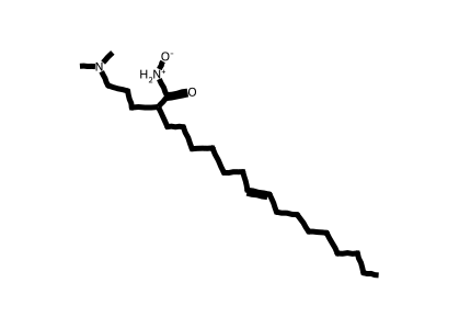 CCCCCCCCC=CCCCCCCC(CCCN(C)C)C(=O)[NH2+][O-]